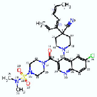 C=C/C(=C\C=C/C)C1(C#N)CCN(c2c(C(=O)N3CCN(S(=O)(=O)N(C)C)CC3)cnc3ccc(Cl)cc23)CC1